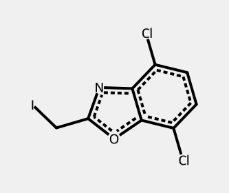 Clc1ccc(Cl)c2oc(CI)nc12